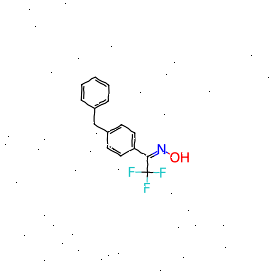 ON=C(c1ccc(Cc2ccccc2)cc1)C(F)(F)F